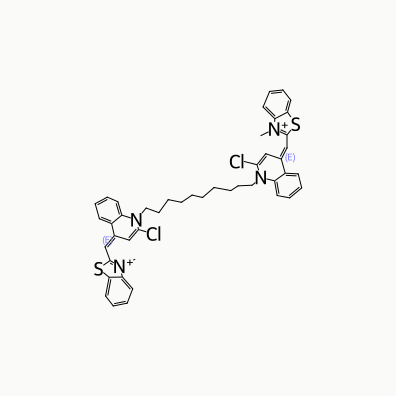 C[n+]1c(/C=C2\C=C(Cl)N(CCCCCCCCCCN3C(Cl)=C/C(=C\c4sc5ccccc5[n+]4C)c4ccccc43)c3ccccc32)sc2ccccc21